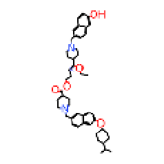 CCO/C(=C\CCOC(=O)C1CCN(Cc2ccc3cc(OC4CCC(C(C)C)CC4)ccc3c2)CC1)C1CCN(Cc2ccc3cc(O)ccc3c2)CC1